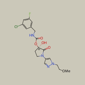 COCCn1cc(N2CC[C@@](O)(OC(=O)NCc3cc(F)cc(Cl)c3)C2=O)cn1